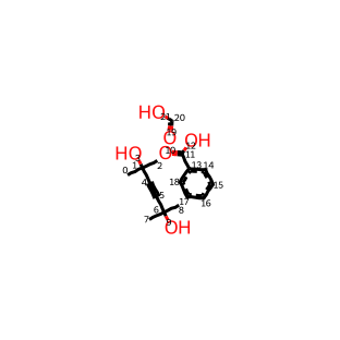 CC(C)(O)C#CC(C)(C)O.O=C(O)c1ccccc1.O=CO